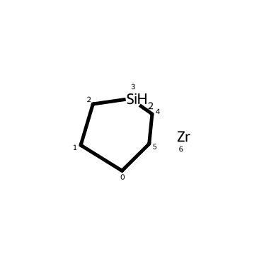 C1CC[SiH2]CC1.[Zr]